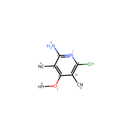 CCCOc1c(C#N)c(N)nc(Cl)c1C#N